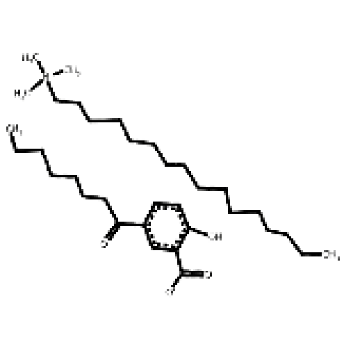 CCCCCCCC(=O)c1ccc(O)c(C(=O)[O-])c1.CCCCCCCCCCCCCCCC[N+](C)(C)C